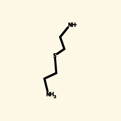 [NH]CCSCCN